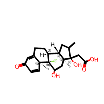 CC1C[C@H]2[C@@H]3CCC4=CC(=O)C=C[C@]4(C)[C@@]3(F)C(O)C[C@]2(C)[C@@]1(O)CC(=O)O